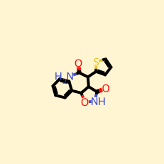 NC(=O)C(c1cccs1)C1C(=O)NOC1c1ccccc1